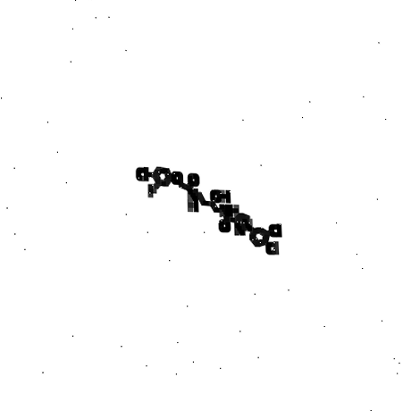 O=C(COc1ccc(Cl)c(F)c1)NCC[C@H](O)CNC(=O)c1ccn(-c2ccc(Cl)c(Cl)c2)n1